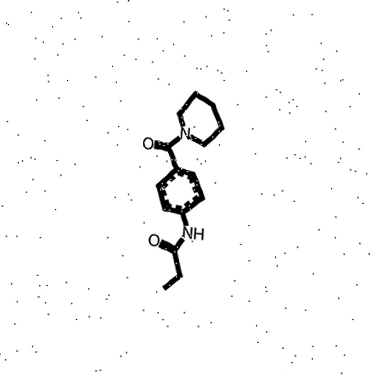 CCC(=O)Nc1ccc(C(=O)N2CCCCC2)cc1